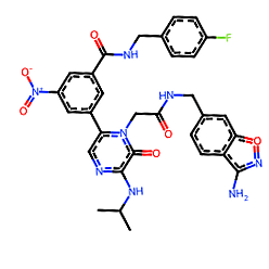 CC(C)Nc1ncc(-c2cc(C(=O)NCc3ccc(F)cc3)cc([N+](=O)[O-])c2)n(CC(=O)NCc2ccc3c(N)noc3c2)c1=O